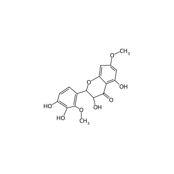 COc1cc(O)c2c(c1)OC(c1ccc(O)c(O)c1OC)C(O)C2=O